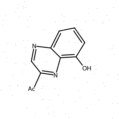 CC(=O)c1cnc2cccc(O)c2n1